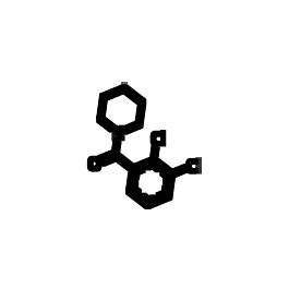 O=C(c1cccc(Cl)c1Cl)N1CC[CH]CC1